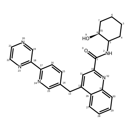 O=C(NC1CCCC[C@@H]1O)c1cc(Cc2ccc(-c3cnccn3)nc2)c2ccccc2n1